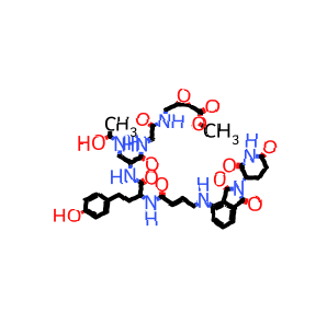 COC(=O)C1OC1CNC(=O)CNC(=O)C(CNC(C)O)NC(=O)C(CCc1ccc(O)cc1)NC(=O)CCCNc1cccc2c1C(=O)N(C1CCC(=O)NC1=O)C2=O